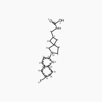 O=C(O)NCC1CC2(CCN(c3ccc4cc(F)ccc4n3)C2)C1